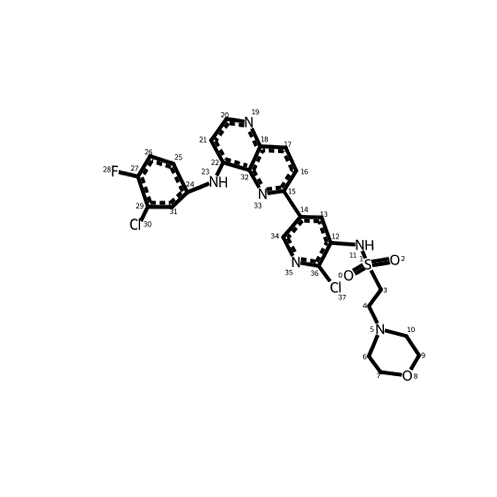 O=S(=O)(CCN1CCOCC1)Nc1cc(-c2ccc3nccc(Nc4ccc(F)c(Cl)c4)c3n2)cnc1Cl